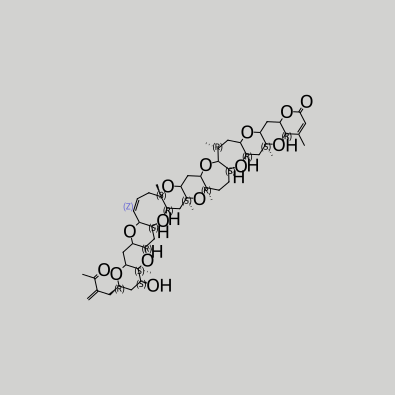 C=C(C[C@@H]1C[C@H](O)[C@]2(C)O[C@@H]3C[C@@H]4O[C@@H]5C[C@]6(C)O[C@]7(C)CC[C@@H]8O[C@@H]9C[C@]%10(C)O[C@@H]%11C(C)=CC(=O)OC%11CC%10OC9C[C@@H](C)C8OC7CC6O[C@@]5(C)C/C=C\C4OC3CC2O1)C(C)=O